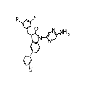 Nc1cnc(N2C(=O)C(Cc3cc(F)cc(F)c3)c3cc(-c4cccc(Cl)c4)ccc32)cn1